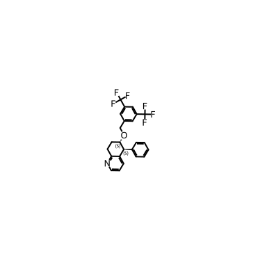 FC(F)(F)c1cc(CO[C@H]2CCc3ncccc3[C@@H]2c2ccccc2)cc(C(F)(F)F)c1